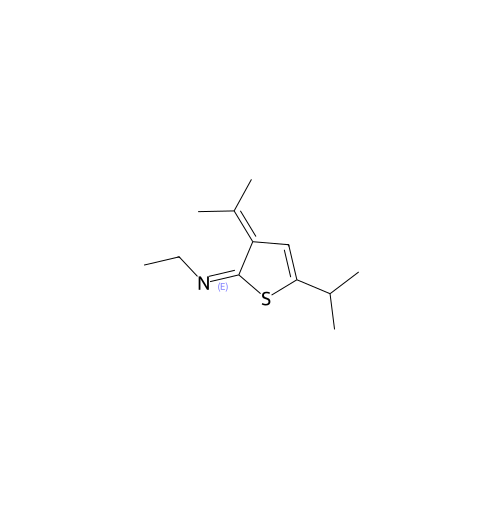 CC/N=C1/SC(C(C)C)=CC1=C(C)C